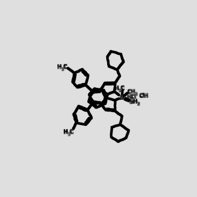 Cc1ccc(-c2cccc3c2C=C(CC2CCCCC2)[CH]3[Zr]([CH3])([CH3])(=[SiH2])[CH]2C(CC3CCCCC3)=Cc3c(-c4ccc(C)cc4)cccc32)cc1.Cl.Cl